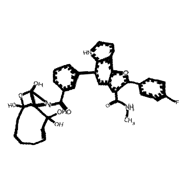 CNC(=O)c1c(-c2ccc(F)cc2)oc2c1cc(-c1cccc(C(=O)N3C4(O)OC5(O)CCCC/C=C/C(O)(O)C354)c1)c1[nH]ccc12